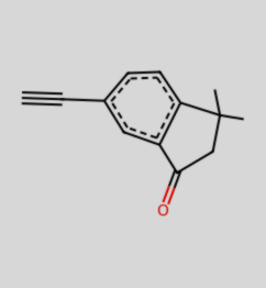 C#Cc1ccc2c(c1)C(=O)CC2(C)C